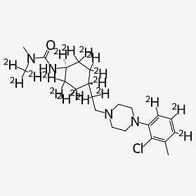 [2H]c1c([2H])c(C)c(Cl)c(N2CCN(CC([2H])([2H])[C@]3([2H])C([2H])([2H])C([2H])([2H])[C@@]([2H])(NC(=O)N(C)C([2H])([2H])[2H])C([2H])([2H])C3([2H])[2H])CC2)c1[2H]